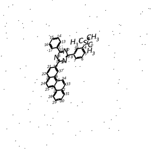 C[Si](C)(C)c1cccc(-c2nc(-c3ccccc3)nc(-c3ccc4ccc5c6ccccc6ccc5c4c3)n2)c1